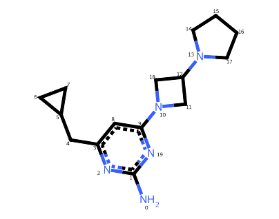 Nc1nc(CC2CC2)cc(N2CC(N3CCCC3)C2)n1